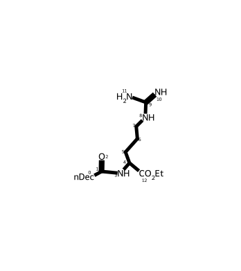 CCCCCCCCCCC(=O)NC(CCCNC(=N)N)C(=O)OCC